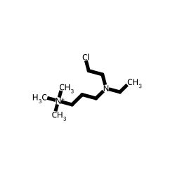 CCN(CCCl)CCC[N+](C)(C)C